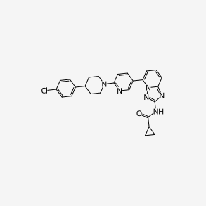 O=C(Nc1nc2cccc(-c3ccc(N4CCC(c5ccc(Cl)cc5)CC4)nc3)n2n1)C1CC1